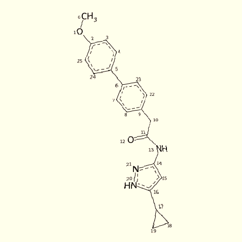 COc1ccc(-c2ccc(CC(=O)Nc3cc(C4CC4)[nH]n3)cc2)cc1